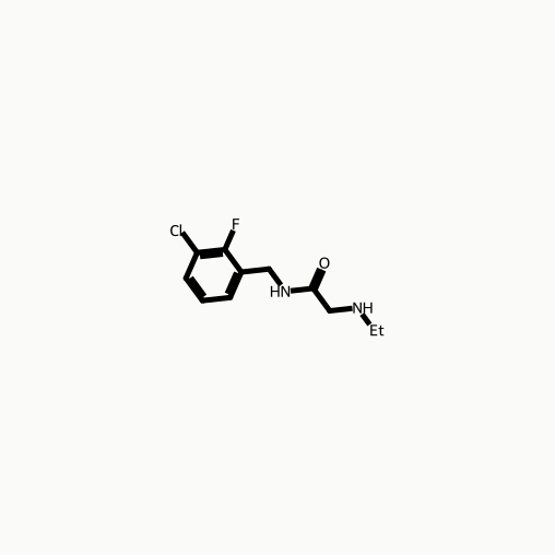 CCNCC(=O)NCc1cccc(Cl)c1F